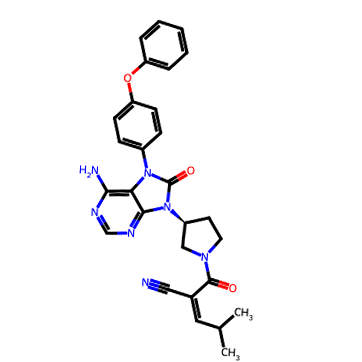 CC(C)/C=C(/C#N)C(=O)N1CC[C@H](n2c(=O)n(-c3ccc(Oc4ccccc4)cc3)c3c(N)ncnc32)C1